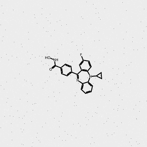 O=C(NO)c1ccc(C2=Nc3ccccc3N(C3CC3)c3ccc(F)cc32)cc1